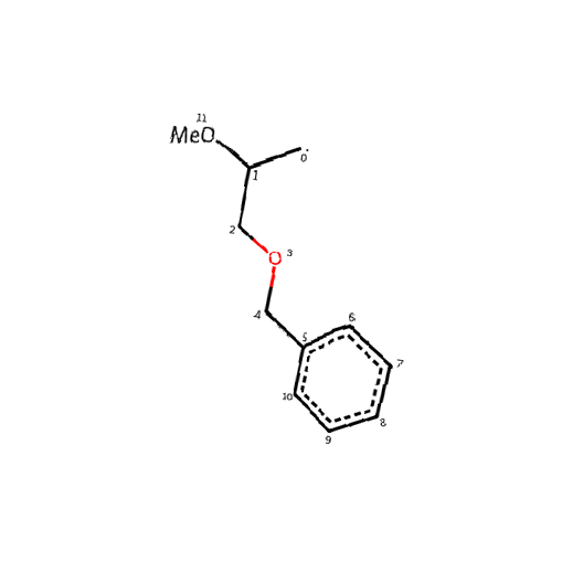 [CH2]C(COCc1ccccc1)OC